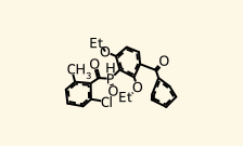 CCOc1ccc(C(=O)c2ccccc2)c(OCC)c1[PH](=O)C(=O)c1c(C)cccc1Cl